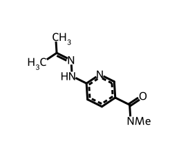 CNC(=O)c1ccc(NN=C(C)C)nc1